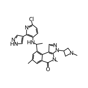 Cc1cc(C(C)Nc2ccc(Cl)nc2-c2cn[nH]c2)c2c(c1)c(=O)n(C)c1c2cnn1C1CN(C)C1